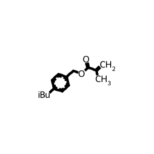 C=C(C)C(=O)OCc1ccc(C(C)CC)cc1